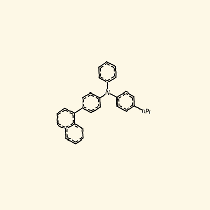 CCCc1ccc(N(c2ccccc2)c2ccc(-c3cccc4ccccc34)cc2)cc1